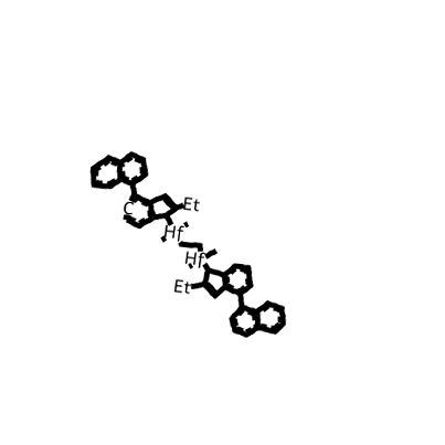 CCC1=Cc2c(-c3cccc4ccccc34)cccc2[CH]1[Hf]([CH3])([CH3])[CH2][CH2][Hf]([CH3])([CH3])[CH]1C(CC)=Cc2c(-c3cccc4ccccc34)cccc21